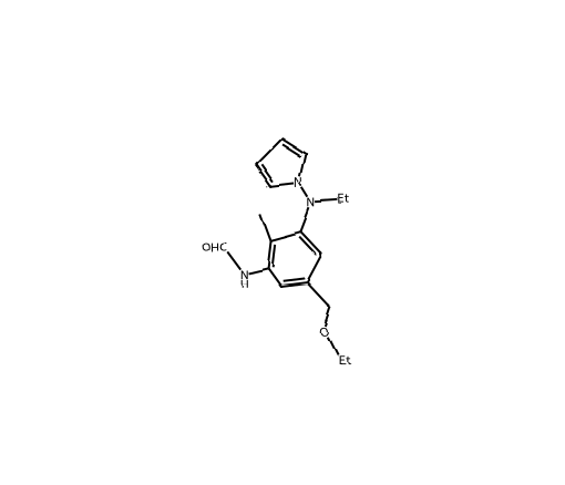 CCOCc1cc(NC=O)c(C)c(N(CC)n2[c]ccc2)c1